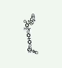 CNC(=O)C(CCC=O)N(C)C(=O)c1cc(NC(C)COc2ccc(C(C)(C)c3ccc(OCc4ccnc(N5CC6(COC6)C5)n4)cc3)cc2)ccc1C=O